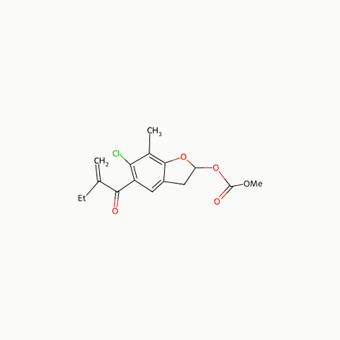 C=C(CC)C(=O)c1cc2c(c(C)c1Cl)OC(OC(=O)OC)C2